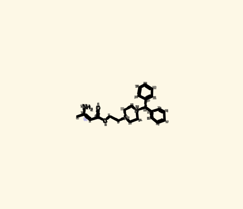 C/C(N)=C/C(=O)OCCN1CCN(C(c2ccccc2)c2ccccc2)CC1